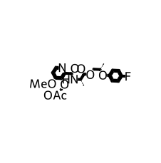 COc1ccnc(C(=O)N[C@@H](C)C(=O)OC[C@H](C)Oc2ccc(F)cc2)c1OCOC(C)=O